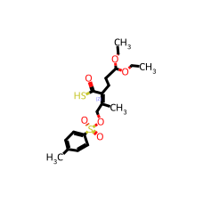 CCOC(CC/C(C(=O)S)=C(\C)COS(=O)(=O)c1ccc(C)cc1)OCC